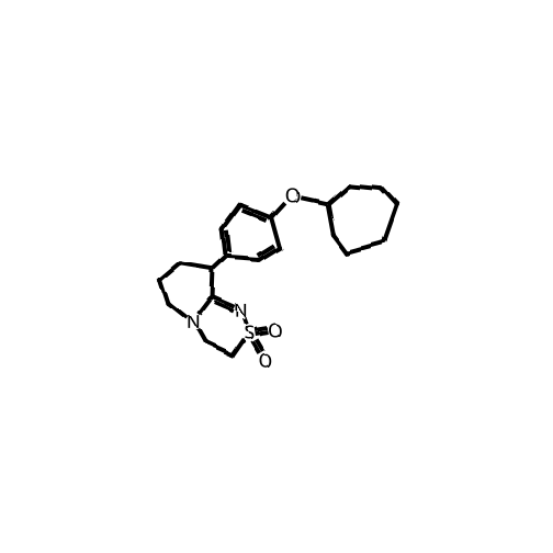 O=S1(=O)CCN2CCCC(c3ccc(OC4CCCCCC4)cc3)C2=N1